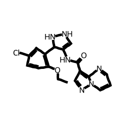 CCOc1ccc(Cl)cc1C1NNC=C1NC(=O)c1cnn2cccnc12